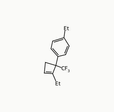 CCC1=CCC1(c1ccc(CC)cc1)C(F)(F)F